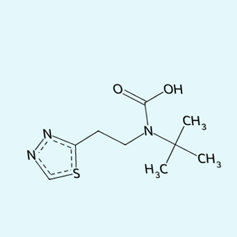 CC(C)(C)N(CCc1nncs1)C(=O)O